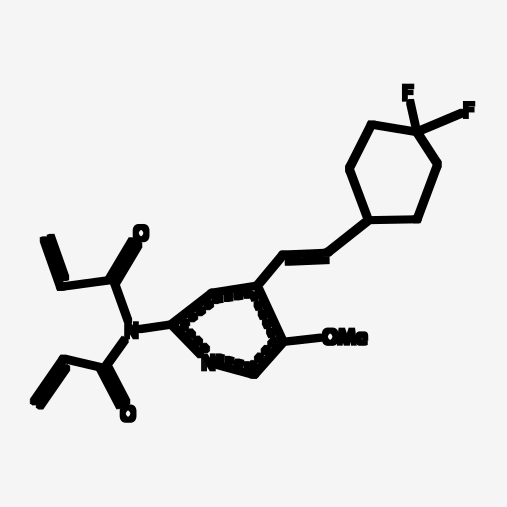 C=CC(=O)N(C(=O)C=C)c1cc(C=CC2CCC(F)(F)CC2)c(OC)cn1